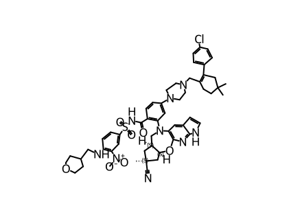 CC1(C)CCC(CN2CCN(c3ccc(C(=O)NS(=O)(=O)c4ccc(NCC5CCOCC5)c([N+](=O)[O-])c4)c(N4C[C@@H]5C[C@](C)(C#N)C[C@@H]5Oc5nc6[nH]ccc6cc54)c3)CC2)=C(c2ccc(Cl)cc2)C1